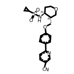 N#Cc1ccc(-c2ccc(OC[C@H]3COCC[C@@H]3NS(=O)(=O)C3CC3)cc2)nc1